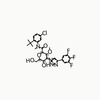 CO[C@@H]1[C@@H](n2cc(-c3cc(F)c(F)c(F)c3)nn2)[C@@H](O)[C@@H](CO)O[C@H]1C(=O)N(C)c1cc(Cl)ccc1C(C)(C)C